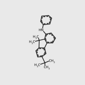 CC(C)(C)c1ccc2c(c1)-c1cccc(Nc3ccccc3)c1C2(C)C